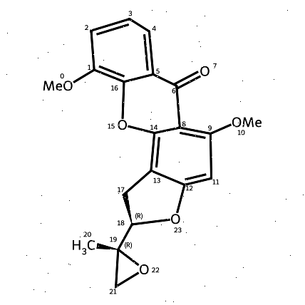 COc1cccc2c(=O)c3c(OC)cc4c(c3oc12)C[C@H]([C@@]1(C)CO1)O4